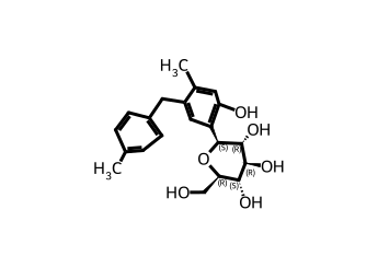 Cc1ccc(Cc2cc([C@@H]3O[C@H](CO)[C@@H](O)[C@H](O)[C@H]3O)c(O)cc2C)cc1